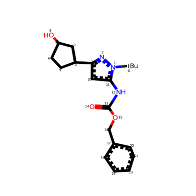 CC(C)(C)n1nc(C2CCC(O)C2)cc1NC(=O)OCc1ccccc1